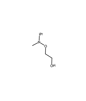 CC(C)N(C)OCCO